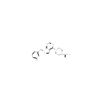 CCOc1cccc(Cn2ncc3c(N4CCN(C(=O)OC(C)(C)C)CC4)ncnc32)c1